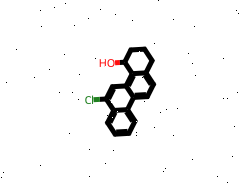 OC1CCCc2ccc3c(cc(Cl)c4ccccc43)c21